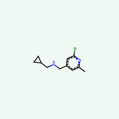 Cc1cc(CNCC2CC2)cc(Br)n1